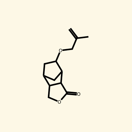 C=C(C)COC1CC2CC1C1C(=O)OCC21